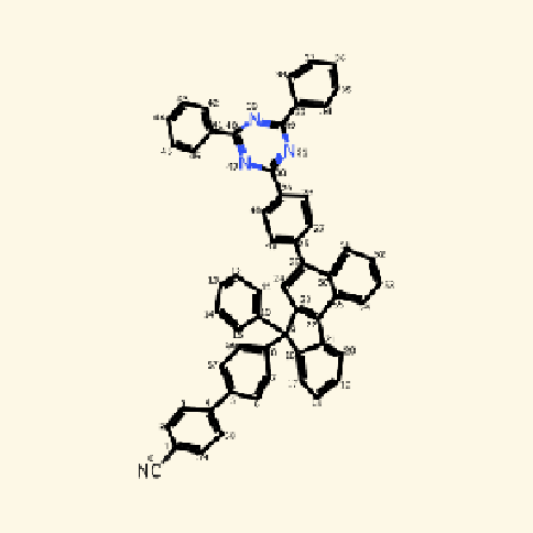 N#Cc1ccc(-c2ccc(C3(c4ccccc4)c4ccccc4-c4c3cc(-c3ccc(-c5nc(-c6ccccc6)nc(-c6ccccc6)n5)cc3)c3ccccc43)cc2)cc1